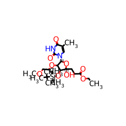 CCOC(=O)CC[C@]1(O)O[C@@H](n2cc(C)c(=O)[nH]c2=O)C(OCCOC)C1O[Si](C)(C)C(C)(C)C